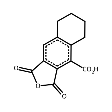 O=C1OC(=O)c2c1cc1c(c2C(=O)O)CCCC1